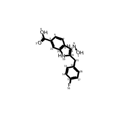 NO.O=C(O)c1ccc2cc(Cc3ccc(F)cc3)[nH]c2c1